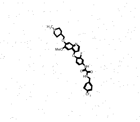 COc1cc2c(Oc3ccc(NC(=O)C(=O)NCc4ccc(C(F)(F)F)cc4)cc3F)ccnc2cc1OCC1CCN(C)CC1